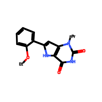 CCCn1c(=O)[nH]c(=O)c2[nH]c(-c3ccccc3OCC)cc21